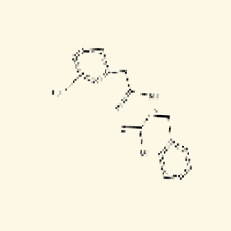 Cc1cccc(CC(=S)N[C@@H](Cc2ccccc2)C(=O)O)c1